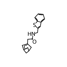 O=C(CC12CC3CC(C3)(C1)C2)NCc1cc2ccccc2s1